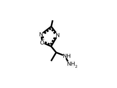 Cc1noc(C(C)NN)n1